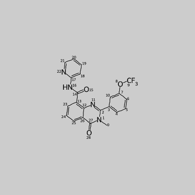 Cn1c(-c2cccc(OC(F)(F)F)c2)nc2c(C(=O)Nc3ccccn3)cccc2c1=O